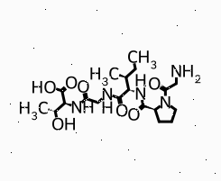 CC[C@H](C)[C@H](NC(=O)[C@@H]1CCCN1C(=O)CN)C(=O)NCC(=O)N[C@H](C(=O)O)[C@@H](C)O